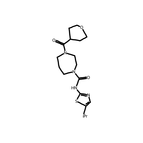 CC(C)c1cnc(NC(=O)N2CCCN(C(=O)C3CCOCC3)CC2)s1